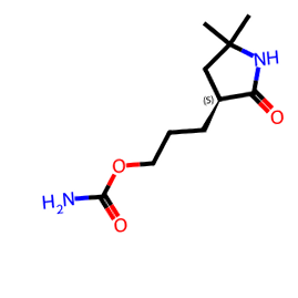 CC1(C)C[C@H](CCCOC(N)=O)C(=O)N1